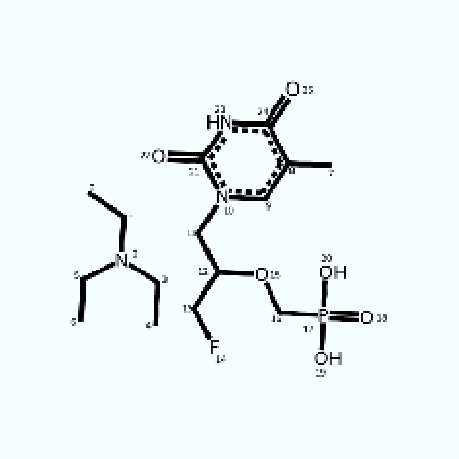 CCN(CC)CC.Cc1cn(CC(CF)OCP(=O)(O)O)c(=O)[nH]c1=O